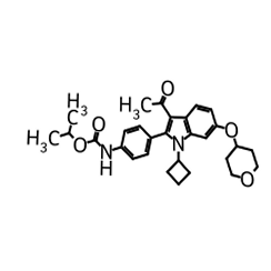 CC(=O)c1c(-c2ccc(NC(=O)OC(C)C)cc2)n(C2CCC2)c2cc(OC3CCOCC3)ccc12